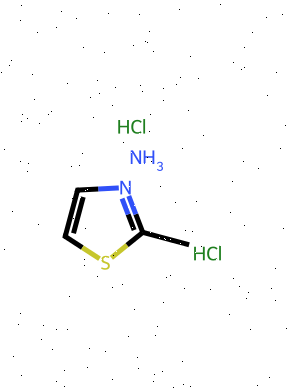 Cc1nccs1.Cl.Cl.N